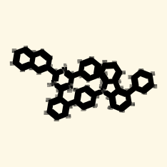 c1ccc(-c2nc(-c3ccc4ccccc4c3)nc(-c3ccccc3-c3ccc(-n4c5ccccc5c5c(-c6ccccc6)cccc54)cc3)n2)cc1